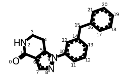 O=C1NCCc2c1cnn2-c1cccc(Cc2ccccc2)c1